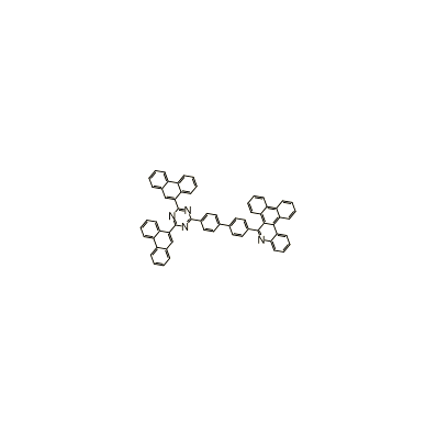 c1ccc2c(c1)cc(-c1nc(-c3ccc(-c4ccc(-c5nc6ccccc6c6c7ccccc7c7ccccc7c56)cc4)cc3)nc(-c3cc4ccccc4c4ccccc34)n1)c1ccccc12